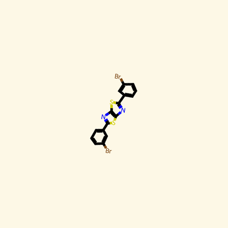 Brc1cccc(-c2nc3sc(-c4cccc(Br)c4)nc3s2)c1